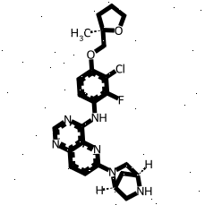 C[C@]1(COc2ccc(Nc3ncnc4ccc(N5C[C@@H]6C[C@H]5CN6)nc34)c(F)c2Cl)CCCO1